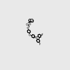 CC1(OC(=O)COc2ccc(Oc3ccc([SH]4c5ccc(F)cc5-c5cc(F)ccc54)cc3)cc2)C2CC3CC(C2)CC1C3